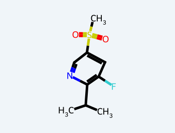 CC(C)c1ncc(S(C)(=O)=O)cc1F